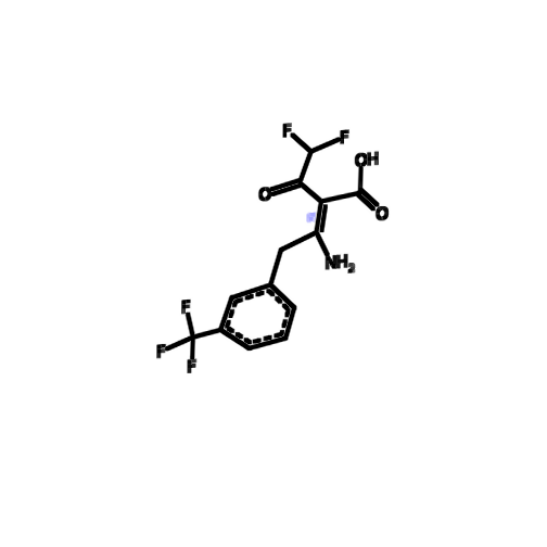 N/C(Cc1cccc(C(F)(F)F)c1)=C(\C(=O)O)C(=O)C(F)F